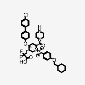 O=C(O)C(F)(F)F.O=C([C@@H]1C[C@@H](Oc2ccc(-c3ccc(Cl)cc3)cc2)CCN1S(=O)(=O)c1ccc(OCC2CCCCC2)cc1)N1CCNCC1